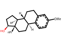 CCC[C@]12CC[C@@H]3c4ccc(OC)cc4CC[C@H]3[C@@H]1CC[C@@H]2O